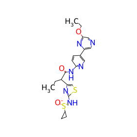 CCOc1cncc(-c2ccc(NC(=O)C(CC)c3csc(N[S+]([O-])C4CC4)n3)nc2)n1